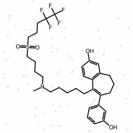 CN(CCCCCC1=C(c2cccc(O)c2)CCCc2cc(O)ccc21)CCCCS(=O)(=O)CCCC(F)(F)C(F)(F)F